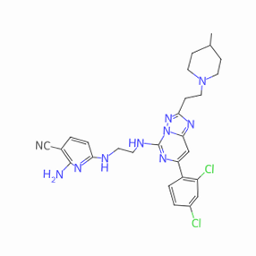 CC1CCN(CCc2nc3cc(-c4ccc(Cl)cc4Cl)nc(NCCNc4ccc(C#N)c(N)n4)n3n2)CC1